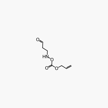 C=CCOC(=O)ONCCC=O